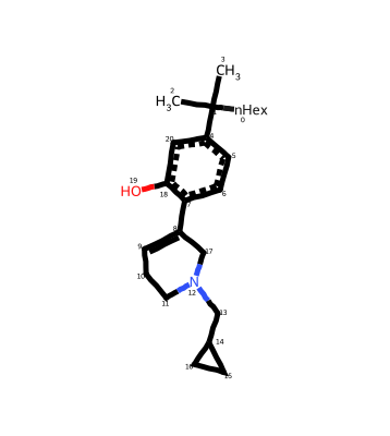 CCCCCCC(C)(C)c1ccc(C2=CCCN(CC3CC3)C2)c(O)c1